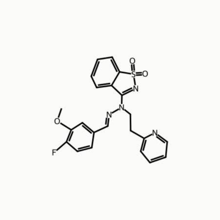 COc1cc(/C=N/N(CCc2ccccn2)C2=NS(=O)(=O)c3ccccc32)ccc1F